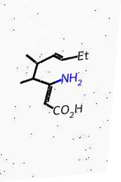 CCC=CC(C)C(C)C(N)=CC(=O)O